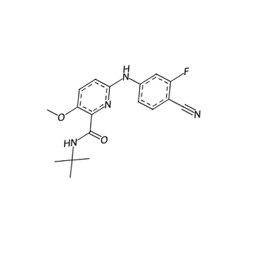 COc1ccc(Nc2ccc(C#N)c(F)c2)nc1C(=O)NC(C)(C)C